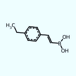 CCc1ccc(C=CB(O)O)cc1